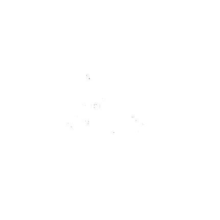 CC(C)COC(=O)N1CC=C(c2cc(NC(=O)c3c[nH]c(=O)cc3C(F)(F)F)c(N3C[C@@H](C)N(C)[C@@H](C)C3)cc2F)C1